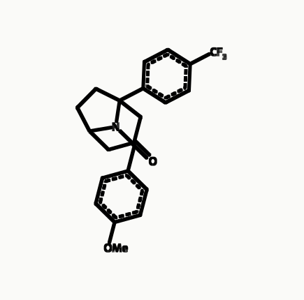 COc1ccc(CN2C3CCC2(c2ccc(C(F)(F)F)cc2)CC(=O)C3)cc1